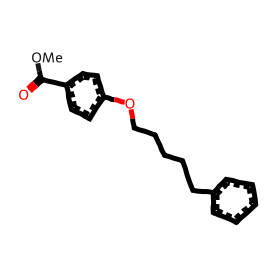 COC(=O)c1ccc(OCCCCCc2ccccc2)cc1